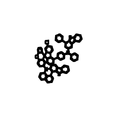 Clc1ccc2c(c1)C1(c3ccccc3Oc3ccc(N(c4ccccc4)c4ccc5c(sc6ccccc65)c4-c4ccccc4)cc31)c1cccc(-c3ccc(N(c4ccccc4)c4cc(-c5ccccc5)c5sc6ccccc6c5c4)cc3)c1-2